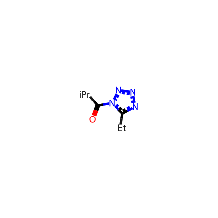 CCc1nnnn1C(=O)C(C)C